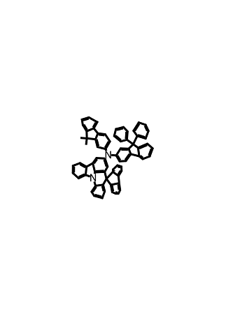 CC1(C)c2ccccc2-c2ccc(N(c3ccc4c(c3)C(c3ccccc3)(c3ccccc3)c3ccccc3-4)c3cc4c5c(c3)c3ccccc3n5-c3ccccc3C43c4ccccc4-c4ccccc43)cc21